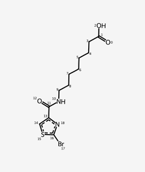 O=C(O)CCCCCCCNC(=O)c1csc(Br)n1